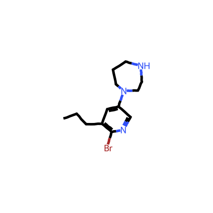 CCCc1cc(N2CCCNCC2)cnc1Br